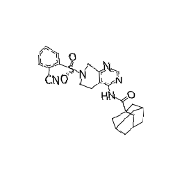 N#Cc1ccccc1S(=O)(=O)N1CCc2c(ncnc2NC(=O)C23CC4CC(CC(C4)C2)C3)C1